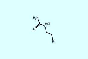 Cl.NC(=O)OCCBr